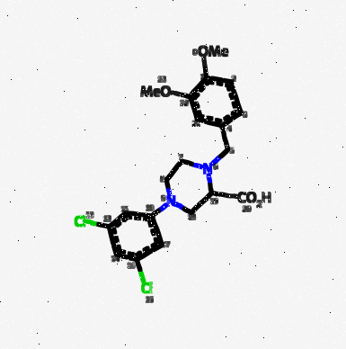 COc1ccc(CN2CCN(c3cc(Cl)cc(Cl)c3)CC2C(=O)O)cc1OC